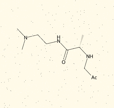 CC(=O)CN[C@@H](C)C(=O)NCCN(C)C